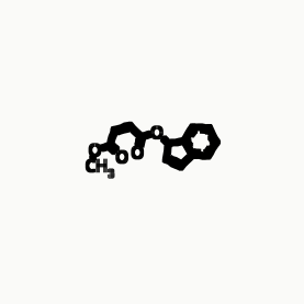 COC(=O)/C=C\C(=O)OC1C=Cc2ccccc21